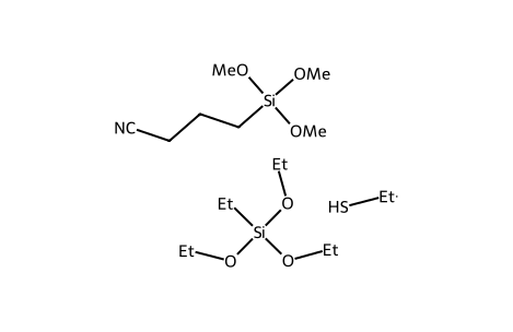 CCO[Si](CC)(OCC)OCC.CO[Si](CCCC#N)(OC)OC.C[CH]S